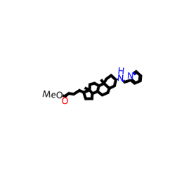 COC(=O)CCCC1CCC2C3CCC4C[C@H](NCc5ccccn5)CCC4(C)C3CCC12C